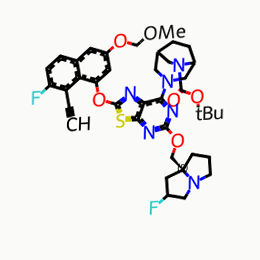 C#Cc1c(F)ccc2cc(OCOC)cc(Oc3nc4c(N5CC6CCC(C5)N(C(=O)OC(C)(C)C)C6)nc(OC[C@@]56CCCN5CC(F)C6)nc4s3)c12